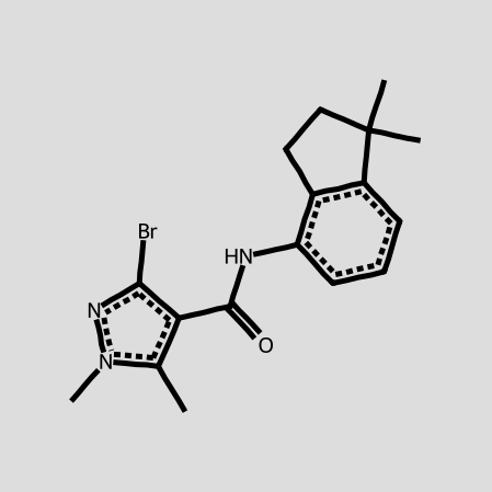 Cc1c(C(=O)Nc2cccc3c2CCC3(C)C)c(Br)nn1C